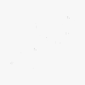 CC/C(=C\[C@@H]1[C@H]2CN(C(=O)OC(C)(C)C)C[C@@H]12)[N+](=O)[O-]